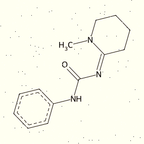 CN1CCCCC1=NC(=O)Nc1ccccc1